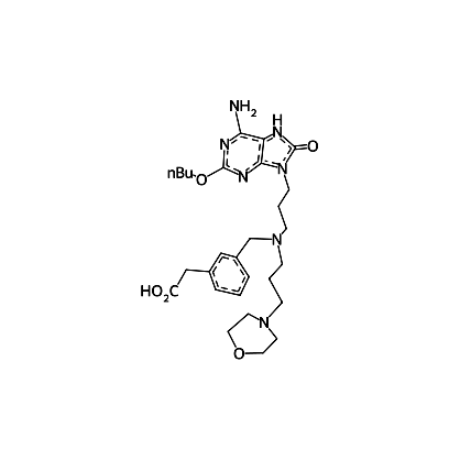 CCCCOc1nc(N)c2[nH]c(=O)n(CCCN(CCCN3CCOCC3)Cc3cccc(CC(=O)O)c3)c2n1